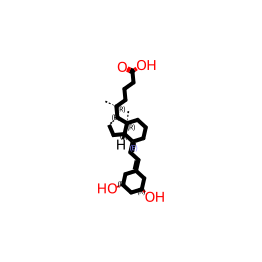 C[C@H](CCCC(=O)O)[C@H]1CC[C@H]2/C(=C/C=C3C[C@@H](O)C[C@H](O)C3)CCC[C@]12C